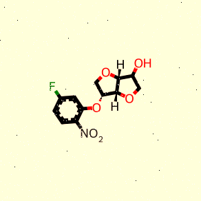 O=[N+]([O-])c1ccc(F)cc1O[C@@H]1CO[C@@H]2C(O)CO[C@@H]21